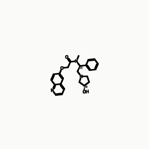 CN(C(=O)COc1ccc2ncccc2c1)[C@H](CN1CC[C@H](O)C1)c1ccccc1